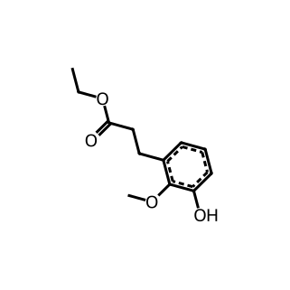 CCOC(=O)CCc1cccc(O)c1OC